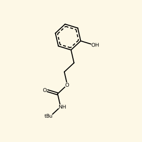 CC(C)(C)NC(=O)OCCc1ccccc1O